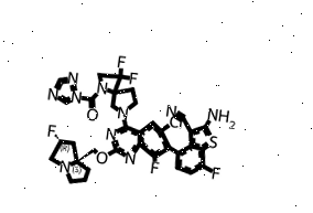 N#Cc1c(N)sc2c(F)ccc(-c3c(Cl)cc4c(N5CCC6(C5)N(C(=O)n5cncn5)CC6(F)F)nc(OC[C@@]56CCCN5C[C@H](F)C6)nc4c3F)c12